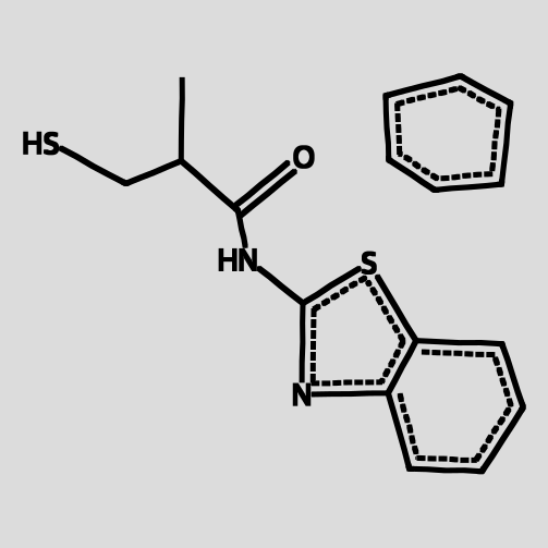 CC(CS)C(=O)Nc1nc2ccccc2s1.c1ccccc1